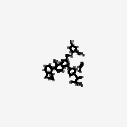 C=C(F)C(=O)N1CCN(c2nc(OC[C@@H]3C[C@@H](F)CN3C)nc3c(F)c(-c4cccc5c4C4CC4C5)ncc23)C[C@@H]1CC#N